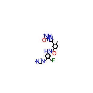 CNC(=O)n1cc(-c2cc(C(=O)Nc3ccc(CN4CCN(C)CC4)c(CF)c3)ccc2C)cn1